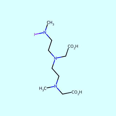 CN(I)CCN(CCN(C)CC(=O)O)CC(=O)O